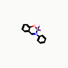 I[B-]1(I)Oc2ccccc2C=[N+]1c1ccccc1